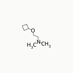 CN(C)CCOC1CCC1